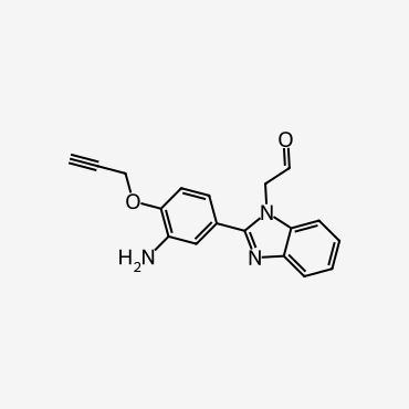 C#CCOc1ccc(-c2nc3ccccc3n2CC=O)cc1N